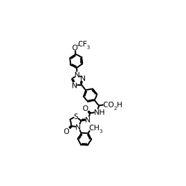 Cc1ccccc1N1C(=O)CS/C1=N\C(=O)NC(C(=O)O)c1ccc(-c2ncn(-c3ccc(OC(F)(F)F)cc3)n2)cc1